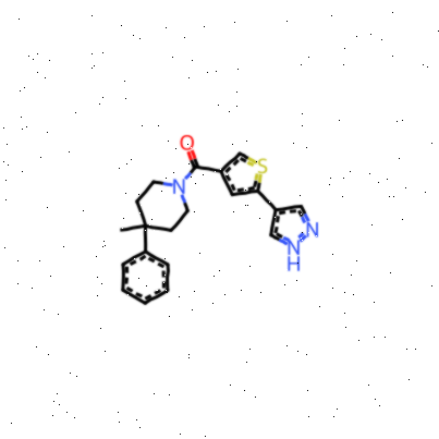 CC1(c2ccccc2)CCN(C(=O)c2csc(-c3cn[nH]c3)c2)CC1